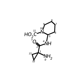 NC1(C(=O)NC2CCCCN2C(=O)O)CC1